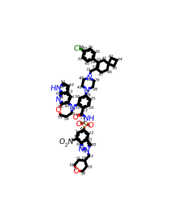 O=C(NS(=O)(=O)c1cc([N+](=O)[O-])c2nn(CC3CCOCC3)cc2c1)c1ccc(N2CCN(CC3=C(c4ccc(Cl)cc4)CC4(CCC4)CC3)CC2)cc1N1CCCOc2nc3[nH]ccc3cc21